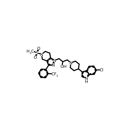 CS(=O)(=O)N1CCc2c(c(-c3ccccc3C(F)(F)F)nn2CC(O)CN2CCC(c3c[nH]c4cc(Cl)ccc34)CC2)C1